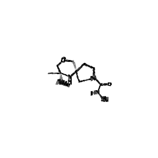 CN[C@]1(C)COC[C@@]2(CCN(C(=O)NC(C)(C)C)C2)N1